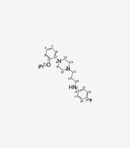 CC(C)Oc1ccccc1N1CCN(CCCNc2ccc(F)cc2)CC1